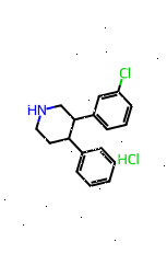 Cl.Clc1cccc(C2CNCCC2c2ccccc2)c1